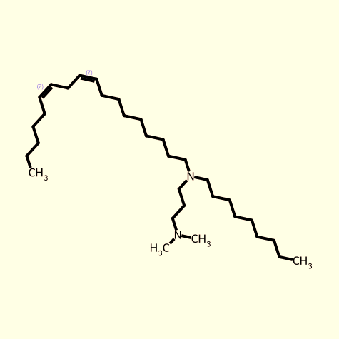 CCCCC/C=C\C/C=C\CCCCCCCCN(CCCCCCCCC)CCCN(C)C